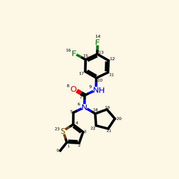 Cc1ccc(CN(C(=O)Nc2ccc(F)c(F)c2)C2CCCC2)s1